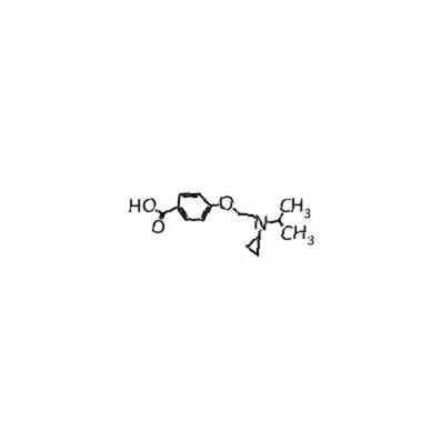 CC(C)N(CCOc1ccc(C(=O)O)cc1)C1CC1